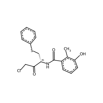 Cc1c(O)cccc1C(=O)N[C@@H](CSc1ccccc1)C(=O)CCl